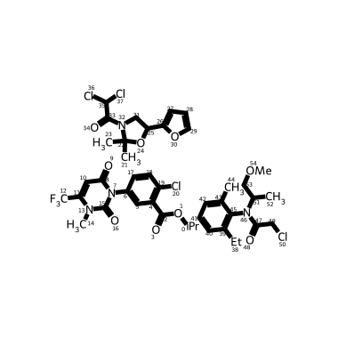 CC(C)OC(=O)c1cc(-n2c(=O)cc(C(F)(F)F)n(C)c2=O)ccc1Cl.CC1(C)OC(c2ccco2)CN1C(=O)C(Cl)Cl.CCc1cccc(C)c1N(C(=O)CCl)C(C)COC